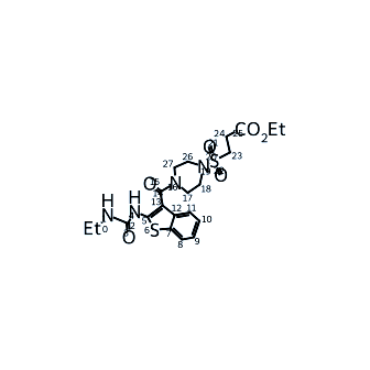 CCNC(=O)Nc1sc2ccccc2c1C(=O)N1CCN(S(=O)(=O)CCC(=O)OCC)CC1